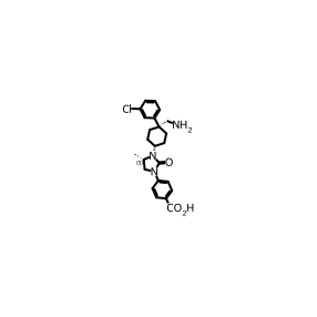 C[C@H]1CN(c2ccc(C(=O)O)cc2)C(=O)N1[C@H]1CC[C@](CN)(c2cccc(Cl)c2)CC1